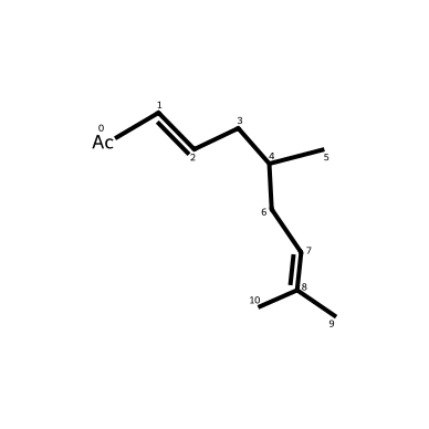 CC(=O)C=CCC(C)CC=C(C)C